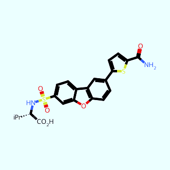 CC(C)[C@H](NS(=O)(=O)c1ccc2c(c1)oc1ccc(-c3ccc(C(N)=O)s3)cc12)C(=O)O